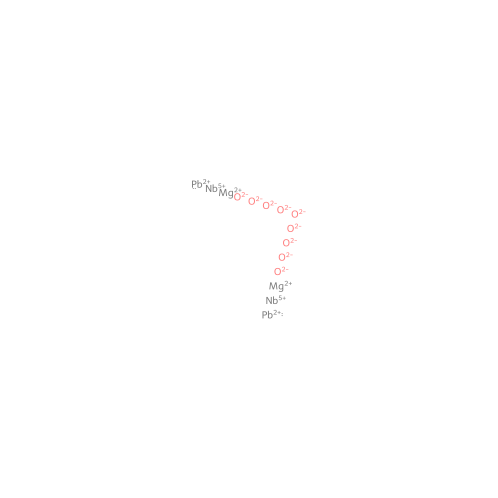 [Mg+2].[Mg+2].[Nb+5].[Nb+5].[O-2].[O-2].[O-2].[O-2].[O-2].[O-2].[O-2].[O-2].[O-2].[Pb+2].[Pb+2]